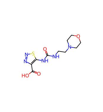 O=C(NCCN1CCOCC1)Nc1snnc1C(=O)O